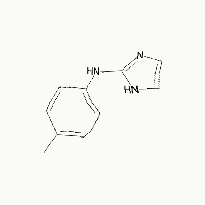 Cc1ccc(Nc2ncc[nH]2)cc1